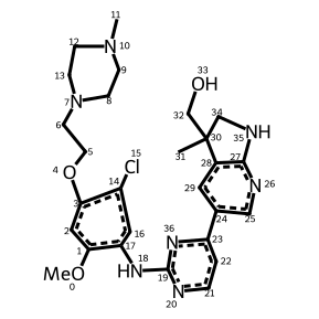 COc1cc(OCCN2CCN(C)CC2)c(Cl)cc1Nc1nccc(-c2cnc3c(c2)C(C)(CO)CN3)n1